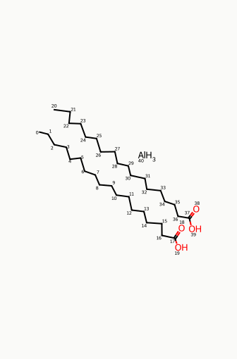 CCCCCCCCCCCCCCCCCC(=O)O.CCCCCCCCCCCCCCCCCC(=O)O.[AlH3]